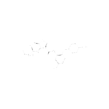 CC(C)Nc1ncc2scc(C(=O)Nc3cc(Cl)ccc3OC3CCC(O)CC3)c2n1